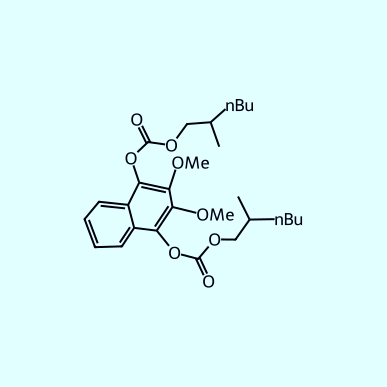 CCCCC(C)COC(=O)Oc1c(OC)c(OC)c(OC(=O)OCC(C)CCCC)c2ccccc12